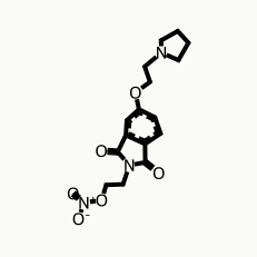 O=C1c2ccc(OCCN3CCCC3)cc2C(=O)N1CCO[N+](=O)[O-]